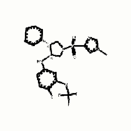 Cn1cnc(S(=O)(=O)N2C[C@@H](Nc3ccc(Cl)c(OC(F)(F)F)c3)[C@H](c3ccccc3)C2)c1